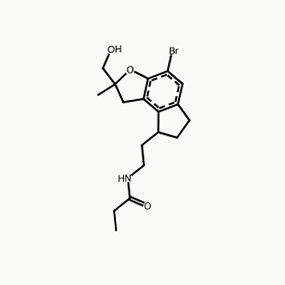 CCC(=O)NCCC1CCc2cc(Br)c3c(c21)CC(C)(CO)O3